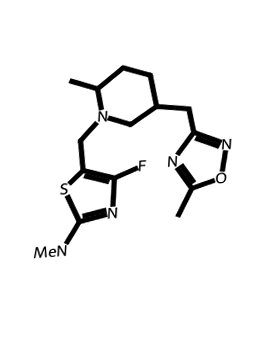 CNc1nc(F)c(CN2CC(Cc3noc(C)n3)CCC2C)s1